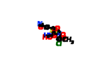 COc1cc(Cl)ccc1C(=O)N1CCC(CC(=O)NO)(c2ccc(-c3ccc(-c4cnco4)cc3)s2)S(=O)(=O)CC1